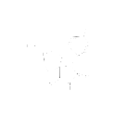 N=C1NC(=O)N(c2ccc(I)cc2)C12CCN(C(=O)O)CC2